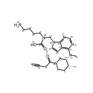 C[C@@H]1CCN(C(=O)CC#N)C[C@@H]1N(C)c1ncnc2c1ccn2CN(CCCCN)C(=O)O